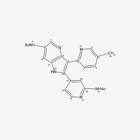 CC(=O)Nc1cnc2c(-c3ccc(C)cn3)c(-c3ccnc(NC(C)=O)c3)[nH]c2c1